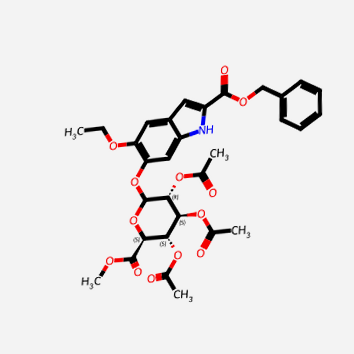 CCOc1cc2cc(C(=O)OCc3ccccc3)[nH]c2cc1OC1O[C@H](C(=O)OC)[C@@H](OC(C)=O)[C@H](OC(C)=O)[C@H]1OC(C)=O